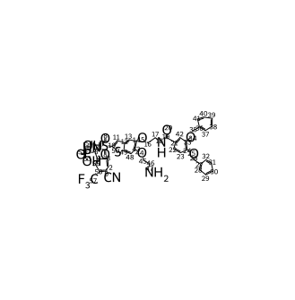 N#Cc1ccc(C(NS(=O)(=O)c2cc3cc(OCCNC(=O)c4ccc(OCc5ccccc5)c(OCc5ccccc5)c4)c(OCCN)cc3s2)P(=O)(O)O)cc1C(F)(F)F